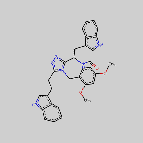 COc1ccc(Cn2c(CCc3c[nH]c4ccccc34)nnc2[C@@H](Cc2c[nH]c3ccccc23)NC=O)c(OC)c1